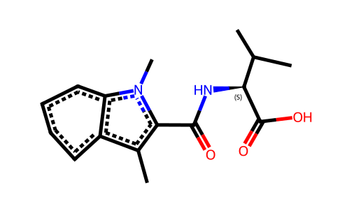 Cc1c(C(=O)N[C@H](C(=O)O)C(C)C)n(C)c2ccccc12